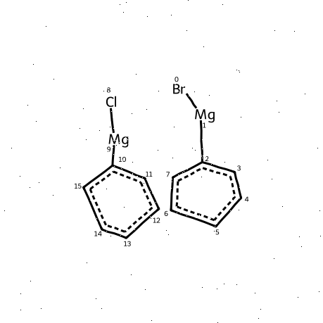 [Br][Mg][c]1ccccc1.[Cl][Mg][c]1ccccc1